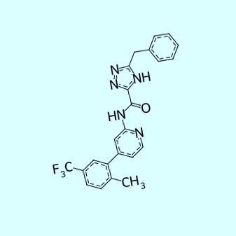 Cc1ccc(C(F)(F)F)cc1-c1ccnc(NC(=O)c2nnc(Cc3ccccc3)[nH]2)c1